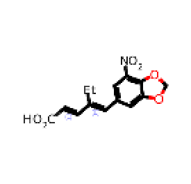 CCC(/C=C/C(=O)O)=C\c1cc2c(c([N+](=O)[O-])c1)OCO2